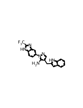 Nc1c(Cc2cc3ccccc3[nH]2)cnn1-c1ccc2[nH]c(C(F)(F)F)nc2c1